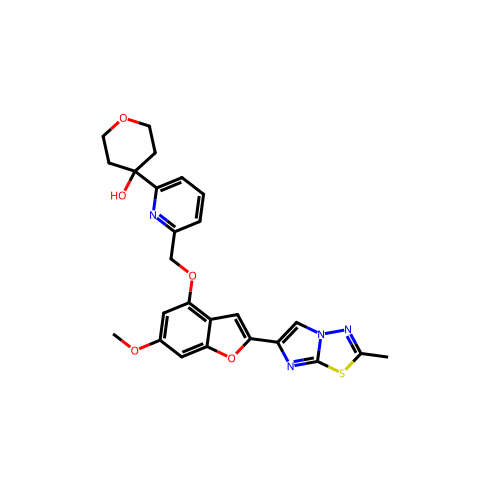 COc1cc(OCc2cccc(C3(O)CCOCC3)n2)c2cc(-c3cn4nc(C)sc4n3)oc2c1